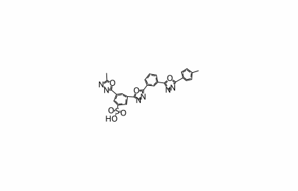 Cc1ccc(-c2nnc(-c3cccc(-c4nnc(-c5cc(-c6nnc(C)o6)cc(S(=O)(=O)O)c5)o4)c3)o2)cc1